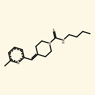 CCCCNC(=S)N1CCC(=Cc2cccc(C)n2)CC1